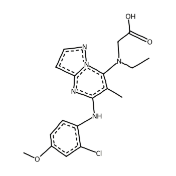 CCN(CC(=O)O)c1c(C)c(Nc2ccc(OC)cc2Cl)nc2ccnn12